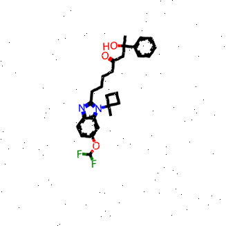 CC(O)(CC(=O)CCCCc1nc2ccc(OC(F)F)cc2n1C1(C)CCC1)c1ccccc1